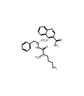 NC(=O)c1cnc2ccccc2c1.NCCC[C@@H](N)C(=O)N[C@H](Cc1ccccc1)C(=O)O